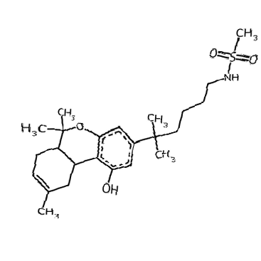 CC1=CCC2C(C1)c1c(O)cc(C(C)(C)CCCCNS(C)(=O)=O)cc1OC2(C)C